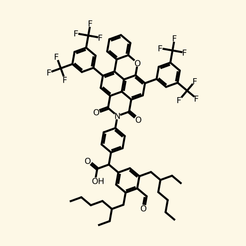 CCCCC(CC)Cc1cc(C(C(=O)O)c2ccc(-n3c(=O)c4cc(-c5cc(C(F)(F)F)cc(C(F)(F)F)c5)c5oc6ccccc6c6c(-c7cc(C(F)(F)F)cc(C(F)(F)F)c7)cc(c3=O)c4c56)cc2)cc(CC(CC)CCCC)c1C=O